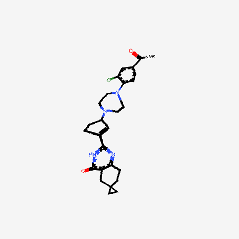 CNC(=O)c1ccc(N2CCN(C3C=C(c4nc5c(c(=O)[nH]4)CC4(CC5)CC4)CC3)CC2)c(Cl)c1